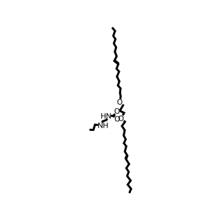 CCCCCCCCC=CCCCCCCCCOCC(COCCCCCCCCC=CCCCCCCCC)OC(=O)NCCNCCC